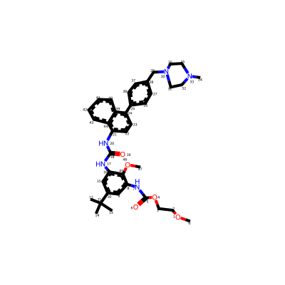 COCCOC(=O)Nc1cc(C(C)(C)C)cc(NC(=O)Nc2ccc(-c3ccc(CN4CCN(C)CC4)cc3)c3ccccc23)c1OC